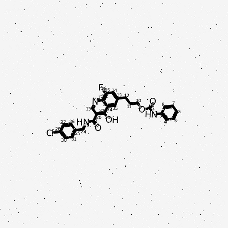 O=C(Nc1ccccc1)OCCCc1cc(F)c2ncc(C(=O)NCc3ccc(Cl)cc3)c(O)c2c1